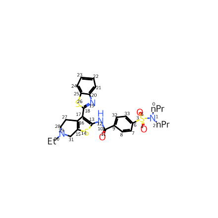 CCCN(CCC)S(=O)(=O)c1ccc(C(=O)Nc2sc3c(c2-c2nc4ccccc4s2)CCN(CC)C3)cc1